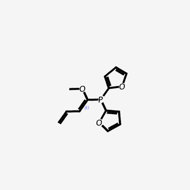 C=C/C=C(\OC)P(c1ccco1)c1ccco1